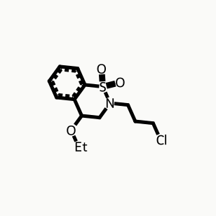 CCOC1CN(CCCCl)S(=O)(=O)c2ccccc21